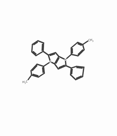 Cc1ccc(-n2c(-c3ccccc3)cc3c2cc(-c2ccccc2)n3-c2ccc(C)cc2)cc1